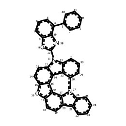 c1ccc(-c2cccc3oc(-n4c5ccc6oc7ccc8c9ccccc9n9c%10cccc4c%10c5c6c7c89)nc23)cc1